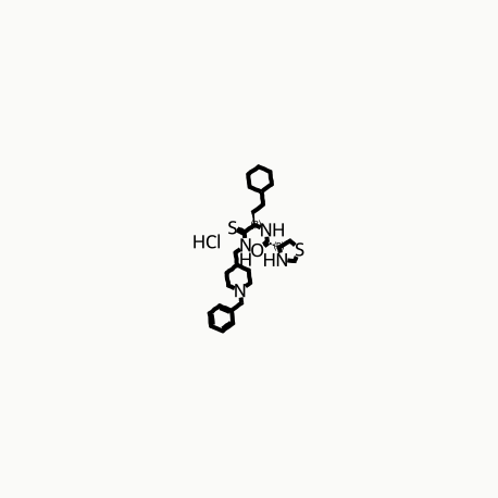 Cl.O=C(N[C@H](CCC1CCCCC1)C(=S)NCC1CCN(Cc2ccccc2)CC1)[C@@H]1CSCN1